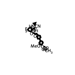 COc1cc(-c2ccc3cc(C(=O)NC4(C(=O)NC5(C#N)CC5)CCC(F)(F)CC4)oc3c2)ccc1OCS(C)(=O)=O